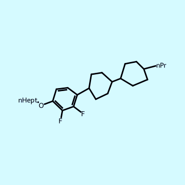 CCCCCCCOc1ccc(C2CCC(C3CCC(CCC)CC3)CC2)c(F)c1F